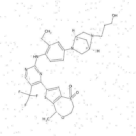 CCc1cc(N2C[C@H]3C[C@@H]2CN3CCCO)ccc1Nc1ncc(C(F)(F)F)c(-c2cc3c(s2)C(C)OCCS3(=O)=O)n1